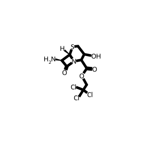 N[C@@H]1C(=O)N2C(C(=O)OCC(Cl)(Cl)Cl)C(O)CS[C@@H]12